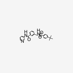 CC(C)(C)c1ccc(S(=O)(=O)NCc2cccc(C(=O)Nc3cccnc3)c2)cc1